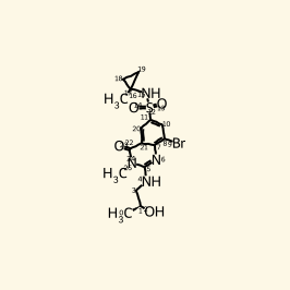 C[C@H](O)CNc1nc2c(Br)cc(S(=O)(=O)NC3(C)CC3)cc2c(=O)n1C